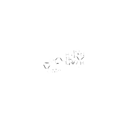 COc1cccc(Oc2ccc(C(CC(=O)O)NC(=O)Nc3c(O)ccn(C)c3=O)cc2)c1